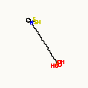 O=P(O)(O)CCCCCCCCCCCCCCCCCCCCCCCCCN(C(=S)S)c1ccccc1